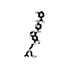 COc1cc2c(Nc3ccc(NC(=O)c4cccc(Cl)c4)nc3)ncnc2cc1OCCCN(CCO)CC(C)C